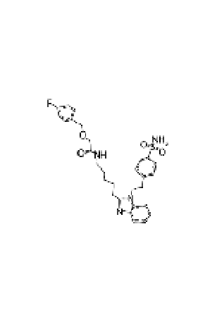 NS(=O)(=O)c1ccc(CCn2c(CCCCCNC(=O)COCc3ccc(F)cc3)nc3ccccc32)cc1